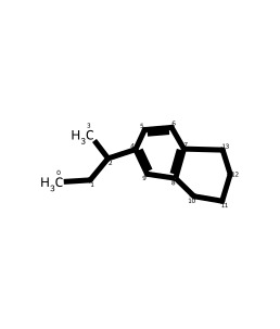 CCC(C)c1ccc2c(c1)[CH]CCC2